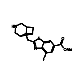 COC(=O)c1cc(F)c2nc(CC34C5CNCC3C4C5)sc2c1